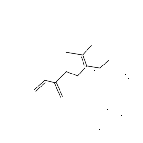 C=CC(=C)CCC(CC)=C(C)C